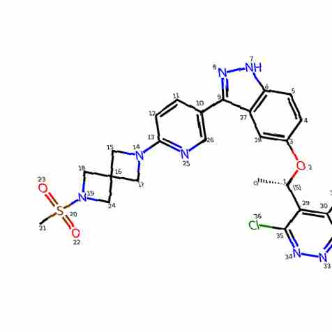 C[C@H](Oc1ccc2[nH]nc(-c3ccc(N4CC5(C4)CN(S(C)(=O)=O)C5)nc3)c2c1)c1c(Cl)cnnc1Cl